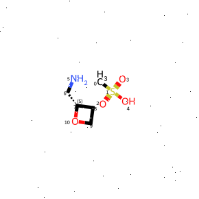 CS(=O)(=O)O.NC[C@@H]1CCO1